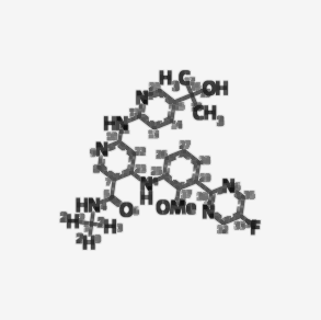 [2H]C([2H])([2H])NC(=O)c1cnc(Nc2ccc(C(C)(C)O)cn2)cc1Nc1cccc(-c2ncc(F)cn2)c1OC